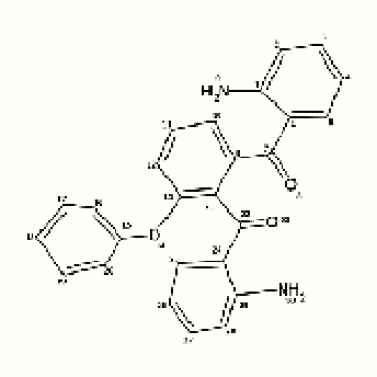 Nc1ccccc1C(=O)c1cccc(Oc2ccccc2)c1C(=O)c1ccccc1N